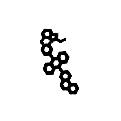 CCc1nc2cccc3c2n1-c1cc(-c2c4ccccc4c(-c4ccc5c(ccc6ccccc65)c4)c4ccccc24)ccc1S3